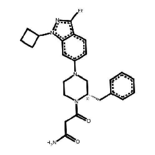 CCc1nn(C2CCC2)c2cc(N3CCN(C(=O)CC(N)=O)[C@@H](Cc4ccccc4)C3)ccc12